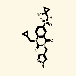 Cn1cc(Cn2c(=O)c3cc(S(=O)(=O)NC4(C#N)CC4)ccc3n(CC3CC3)c2=O)cn1